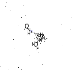 C=C(C)n1cnc2c(NCC/C=C/Nc3ccccc3C)nc(-c3cncc(F)c3)nc21